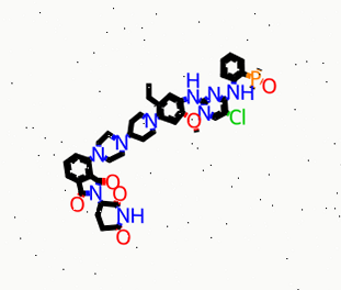 CCc1cc(Nc2ncc(Cl)c(Nc3ccccc3P(C)(C)=O)n2)c(OC)cc1N1CCC(N2CCN(c3cccc4c3C(=O)N(C3CCC(=O)NC3=O)C4=O)CC2)CC1